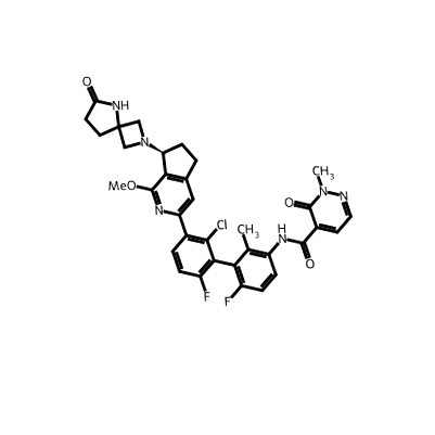 COc1nc(-c2ccc(F)c(-c3c(F)ccc(NC(=O)c4ccnn(C)c4=O)c3C)c2Cl)cc2c1[C@@H](N1CC3(CCC(=O)N3)C1)CC2